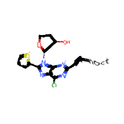 CCCCCCCCC#Cc1nc(Cl)c2nc(-c3cccs3)n([C@@H]3OCC[C@H]3O)c2n1